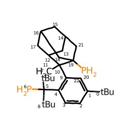 CC(C)(C)c1ccc(C(P)(C(C)(C)C)C(C)(C)C)c(C2(C)C3CC4CC(C3)CC2(P)C4)c1